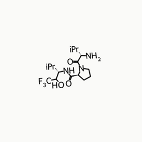 CC(C)[C@H](NC(=O)[C@@H]1CCCN1C(=O)[C@@H](N)C(C)C)C(O)C(F)(F)F